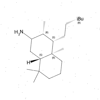 CC[C@@H](C)CC[C@H]1[C@@H](C)C(N)C[C@H]2C(C)(C)CCC[C@]12C